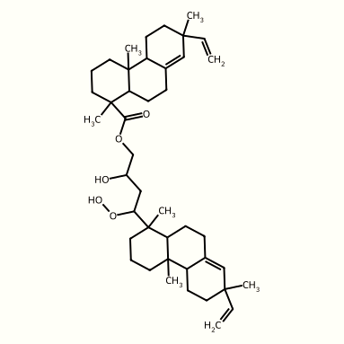 C=CC1(C)C=C2CCC3C(C)(C(=O)OCC(O)CC(OO)C4(C)CCCC5(C)C6CCC(C)(C=C)C=C6CCC45)CCCC3(C)C2CC1